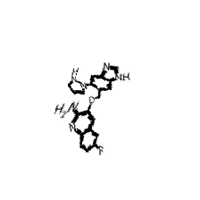 Nc1nc2ccc(F)cc2cc1OCc1cc2[nH]cnc2cc1N1C=CCN1